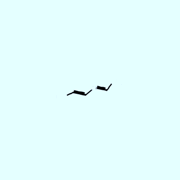 [CH2]C=NC=CC